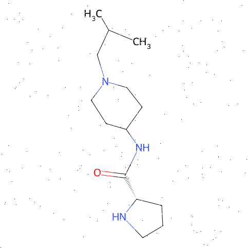 CC(C)CN1CCC(NC(=O)[C@@H]2CCCN2)CC1